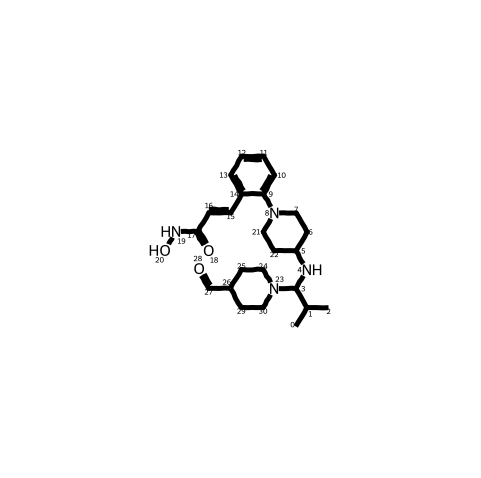 CC(C)C(NC1CCN(c2ccccc2C=CC(=O)NO)CC1)N1CCC(C=O)CC1